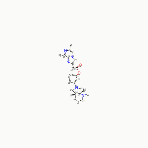 Cc1cn2cc(-c3cc4ccc(N5C[C@H]6CCCN(C)[C@H]6C5)cc4oc3=O)nc2c(C)n1